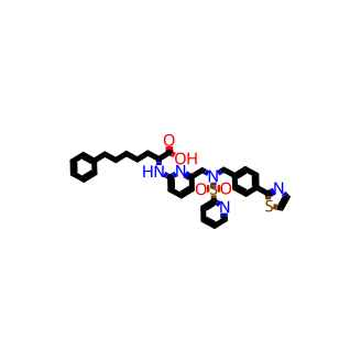 O=C(O)C(CCCCCc1ccccc1)Nc1cccc(CN(Cc2ccc(-c3nccs3)cc2)S(=O)(=O)c2ccccn2)n1